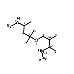 CC(C)NC(C)CC(C)(C)OCC(C)C(C)NC(C)C